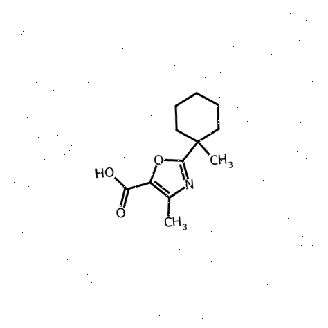 Cc1nc(C2(C)CCCCC2)oc1C(=O)O